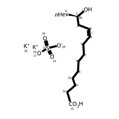 CCCCCC[C@@H](O)C/C=C\CCCCCCCC(=O)O.O=S(=O)([O-])[O-].[K+].[K+]